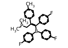 Cc1ccc(/C(CP(C)C)=C(/B(c2ccc(F)cc2)c2ccc(F)cc2)c2ccc(F)cc2)cc1